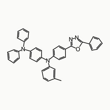 Cc1cccc(N(c2ccc(-c3nnc(-c4ccccc4)o3)cc2)c2ccc(N(c3ccccc3)c3ccccc3)cc2)c1